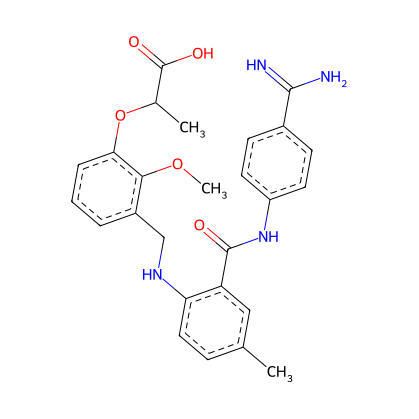 COc1c(CNc2ccc(C)cc2C(=O)Nc2ccc(C(=N)N)cc2)cccc1OC(C)C(=O)O